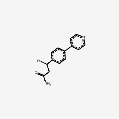 CCC(CC(N)=O)c1ccc(-c2ccncc2)cc1